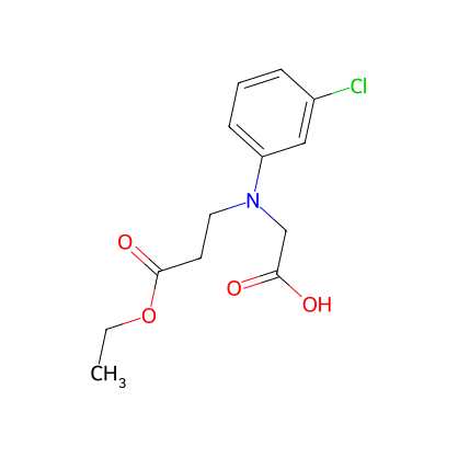 CCOC(=O)CCN(CC(=O)O)c1cccc(Cl)c1